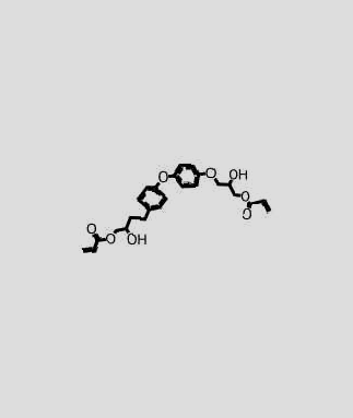 C=CC(=O)OCC(O)CCc1ccc(Oc2ccc(OCC(O)COC(=O)C=C)cc2)cc1